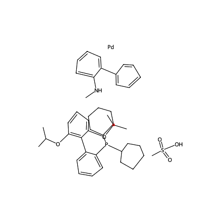 CC(C)Oc1cccc(OC(C)C)c1-c1ccccc1P(C1CCCCC1)C1CCCCC1.CNc1ccccc1-c1ccccc1.CS(=O)(=O)O.[Pd]